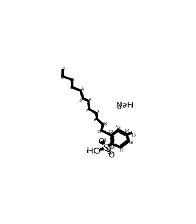 CCCCCCCCCCCCc1cc(C)ccc1S(=O)(=O)O.[NaH]